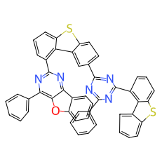 c1ccc(-c2nc(-c3ccc4sc5cccc(-c6nc(-c7ccccc7)c7oc8ccccc8c7n6)c5c4c3)nc(-c3cccc4sc5ccccc5c34)n2)cc1